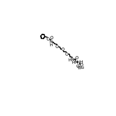 CC(C)(C)OC(=O)NNC(=O)NCCCOCCOCCOCCCNC(=O)OCc1ccccc1